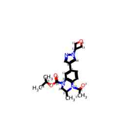 CC(=O)N1c2ccc(-c3cnn(C4COC4)c3)cc2N(C(=O)OC(C)C)CC1C